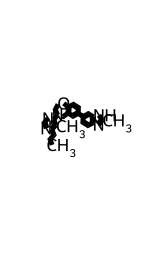 CCCc1ncnc(N2CCOc3ccc(-c4ccc5nc(C)[nH]c5c4)cc3C2)c1C